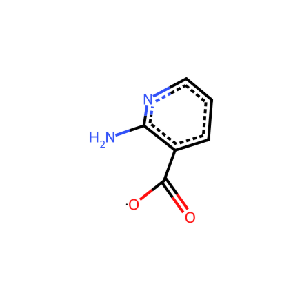 Nc1ncccc1C([O])=O